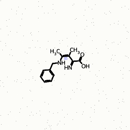 C/C(NCc1ccccc1)=C(\C)C(=N)C(=O)O